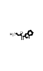 C=CCC(=O)Nc1cnc2ccccc2c1